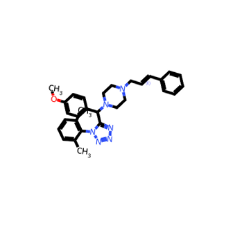 COc1ccc(C(c2nnnn2-c2c(C)cccc2C)N2CCN(C/C=C/c3ccccc3)CC2)cc1